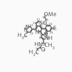 C=CC(=O)NC(C)c1cc(-c2nc(-c3cnnc(C)c3)c3ccsc3c2-c2c(F)cc(F)cc2OCCOC)n[nH]1